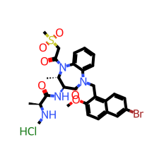 CN[C@@H](C)C(=O)N[C@@H]1C(=O)N(Cc2c(OC)ccc3cc(Br)ccc23)c2ccccc2N(C(=O)CS(C)(=O)=O)[C@H]1C.Cl